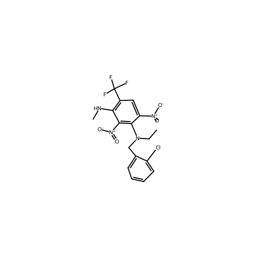 CCN(Cc1ccccc1Cl)c1c([N+](=O)[O-])cc(C(F)(F)F)c(NC)c1[N+](=O)[O-]